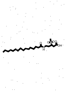 CCCCCCCCCCCCCCCC(=O)NCCC(CC(=O)O)S(C)(=O)=O